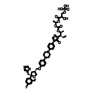 CC[C@@H]([C@H](C)OC(=O)OC(C)OC(=O)C(O)COP(=O)(O)O)n1ncn(-c2ccc(N3CCN(c4ccc(OC[C@@H]5CO[C@@](Cn6cncn6)(c6ccc(F)cc6F)C5)cc4)CC3)cc2)c1=O